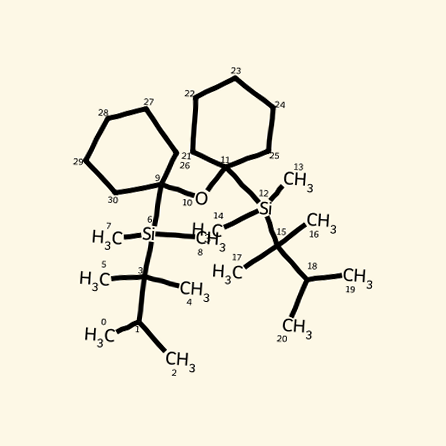 CC(C)C(C)(C)[Si](C)(C)C1(OC2([Si](C)(C)C(C)(C)C(C)C)CCCCC2)CCCCC1